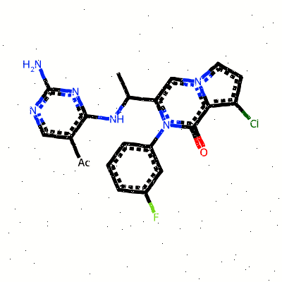 CC(=O)c1cnc(N)nc1NC(C)c1cn2ccc(Cl)c2c(=O)n1-c1cccc(F)c1